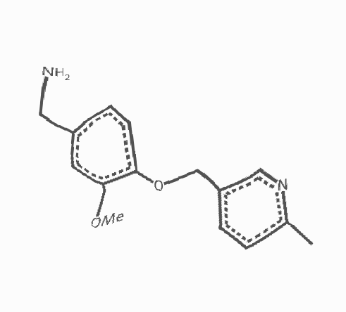 COc1cc(CN)ccc1OCc1ccc(C)nc1